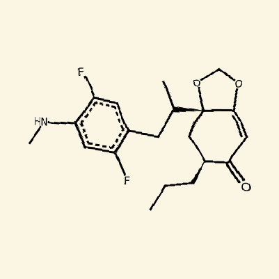 CCC[C@H]1C[C@]2(C(C)Cc3cc(F)c(NC)cc3F)OCOC2=CC1=O